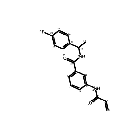 C=CC(=O)Nc1cccc(C(=O)NC(C)c2ccc(F)cc2)c1